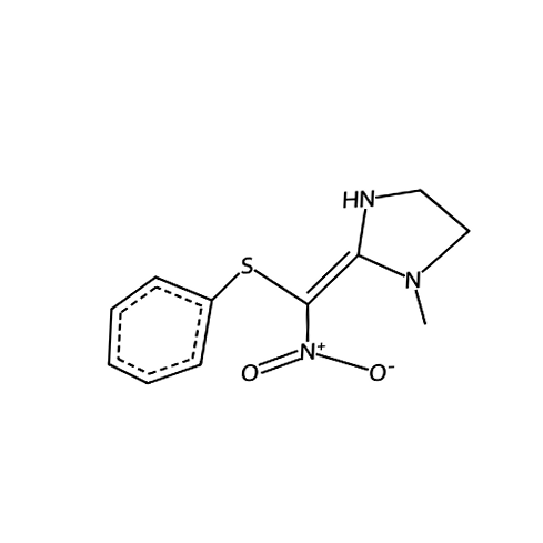 CN1CCN/C1=C(\Sc1ccccc1)[N+](=O)[O-]